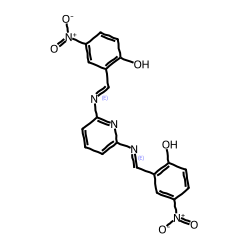 O=[N+]([O-])c1ccc(O)c(/C=N/c2cccc(/N=C/c3cc([N+](=O)[O-])ccc3O)n2)c1